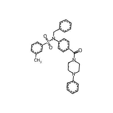 Cc1cccc(S(=O)(=O)N(Cc2ccccc2)c2ccc(C(=O)N3CCN(c4ccccc4)CC3)cc2)c1